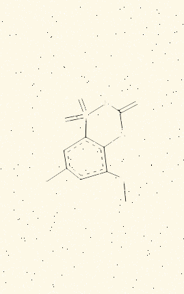 COc1cc(Cl)cc2c1NC(=O)NS2(=O)=O